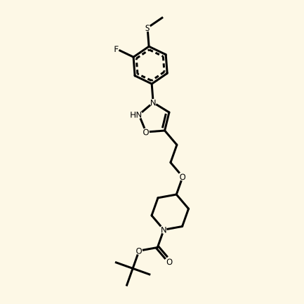 CSc1ccc(N2C=C(CCOC3CCN(C(=O)OC(C)(C)C)CC3)ON2)cc1F